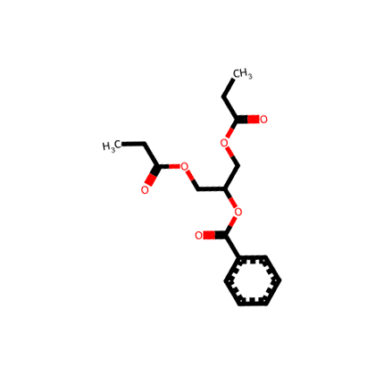 CCC(=O)OCC(COC(=O)CC)OC(=O)c1ccccc1